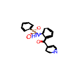 O=C(c1ccncc1)c1ccccc1NS(=O)(=O)c1ccccc1